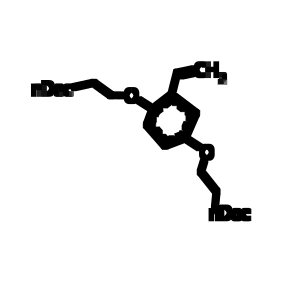 C=Cc1cc(OCCCCCCCCCCCC)ccc1OCCCCCCCCCCCC